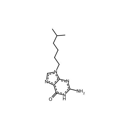 CC(C)CCCCn1cnc2c(=O)[nH]c(N)nc21